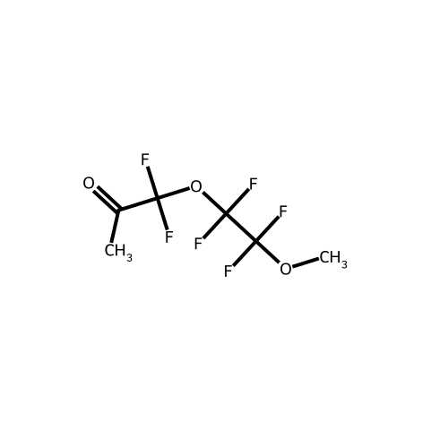 COC(F)(F)C(F)(F)OC(F)(F)C(C)=O